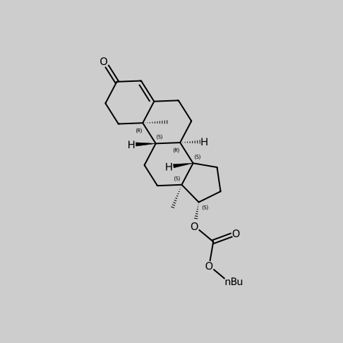 CCCCOC(=O)O[C@H]1CC[C@H]2[C@@H]3CCC4=CC(=O)CC[C@]4(C)[C@H]3CC[C@]12C